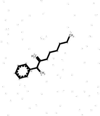 C=C(CCCCCC)C(C)c1ccccc1